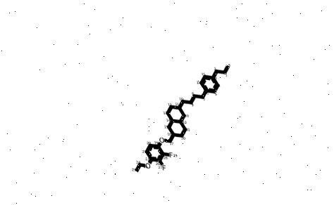 CCCc1ccc(CCCCC2CCC3CC(COc4ccc(OCC)c(F)c4F)CCC3C2)cc1